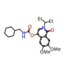 CCC(CC)n1cc(OC(=O)NCC2CCCCC2)c2cc(OC)c(OC)cc2c1=O